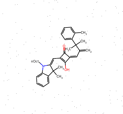 C=C(/C=C1\C(=O)C(/C=C2/N(CCCCCCCC)c3ccccc3C2(C)C)=C1O)C(C)(C)c1ccccc1C